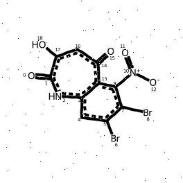 O=c1[nH]c2cc(Br)c(Br)c([N+](=O)[O-])c2c(=O)cc1O